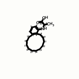 CC(Nc1cccc2c1CCCCCCCCCCC2)C(=O)O